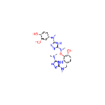 CN(C)c1nnc(N(C)Cc2ccc(O)c(ON(C)c3nnc(N(C)c4ccc(O)c(O)c4)[nH]3)c2)[nH]1